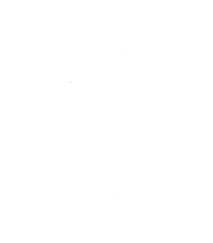 CC(F)C(=O)C(F)C(F)C(F)CCF